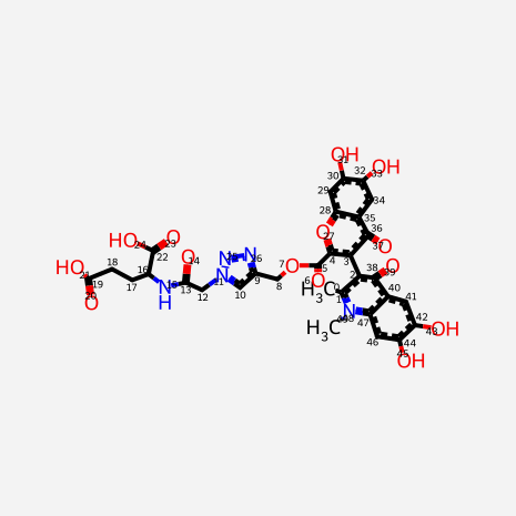 Cc1c(-c2c(C(=O)OCc3cn(CC(=O)NC(CCC(=O)O)C(=O)O)nn3)oc3cc(O)c(O)cc3c2=O)c(=O)c2cc(O)c(O)cc2n1C